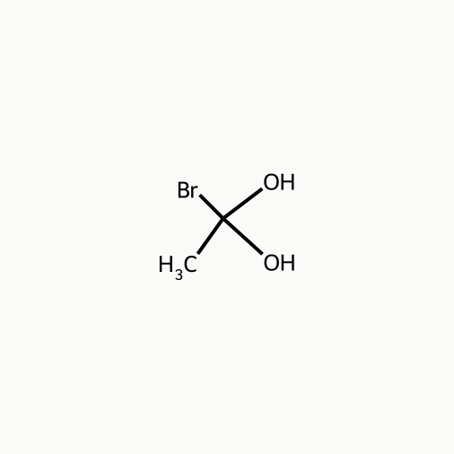 CC(O)(O)Br